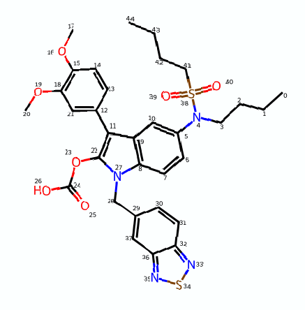 CCCCN(c1ccc2c(c1)c(-c1ccc(OC)c(OC)c1)c(OC(=O)O)n2Cc1ccc2nsnc2c1)S(=O)(=O)CCCC